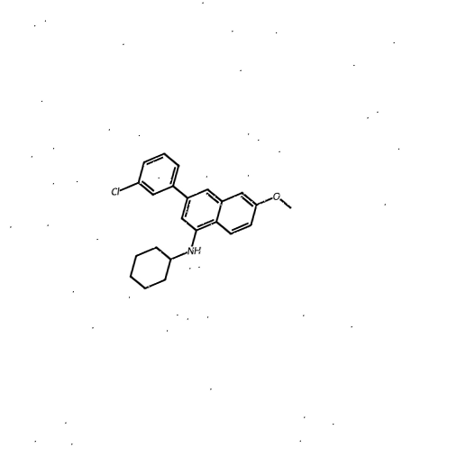 COc1ccc2c(NC3CCCCC3)cc(-c3cccc(Cl)c3)cc2c1